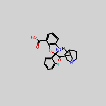 O=C(O)c1cccc2c1OC(C(=O)[C@H]1CN3CCC1CC3)(c1ccccc1F)N2